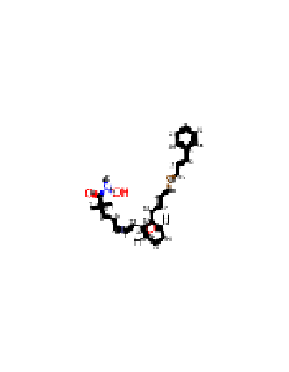 CN(O)C(=O)C(C)(C)CC/C=C\C[C@H]1[C@@H](CCCCSCC=Cc2ccccc2)[C@H]2CC[C@@H]1O2